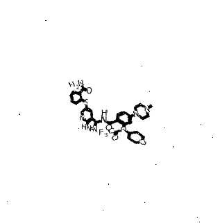 CN1CCN(c2ccc(C(=O)Nc3n[nH]c4ncc(Sc5ccccc5C(N)=O)cc34)c(N(C(=O)C(F)(F)F)C3CCOCC3)c2)CC1